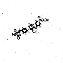 Cc1c(Oc2ccc(/C=C3\SC(=O)NC3=O)cc2)ncnc1OC1CCN(C(=O)OCC(C)C)CC1